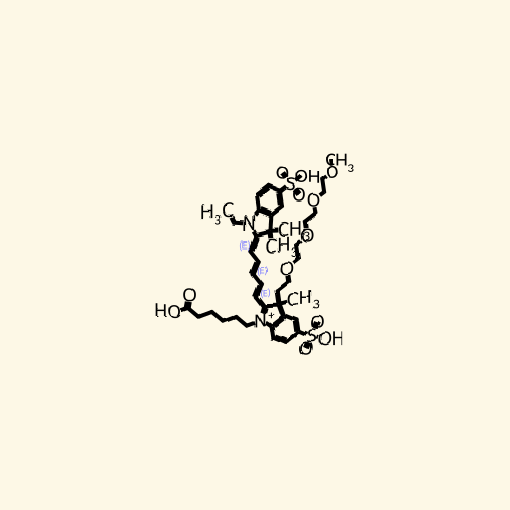 CCN1/C(=C/C=C/C=C/C2=[N+](CCCCCC(=O)O)c3ccc(S(=O)(=O)O)cc3C2(C)CCOCCOCCOCCOC)C(C)(C)c2cc(S(=O)(=O)O)ccc21